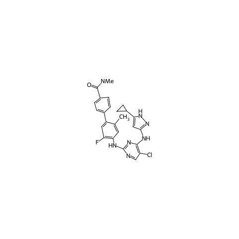 CNC(=O)c1ccc(-c2cc(F)c(Nc3ncc(Cl)c(Nc4cc(C5CC5)[nH]n4)n3)cc2C)cc1